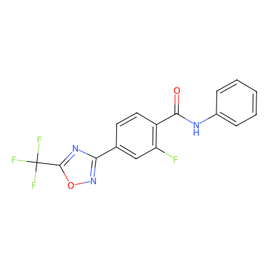 O=C(Nc1ccccc1)c1ccc(-c2noc(C(F)(F)F)n2)cc1F